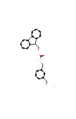 O=C(O)Cc1cccc(CNC(=O)OCC2c3ccccc3-c3ccccc32)c1